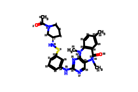 CC(=O)N1CCC[C@H](NSc2cccc(Nc3ncc4c(n3)N(C)c3ccc(C)cc3C(=O)N4C)c2)C1